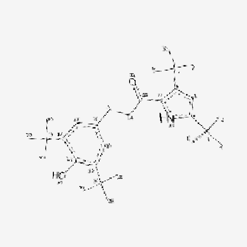 CC(C)(C)c1cc(C(C)(C)C)c(C(=O)CCc2cc(C(C)(C)C)c(O)c(C(C)(C)C)c2)[nH]1